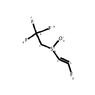 [O-][S+](C=CF)CC(F)(F)F